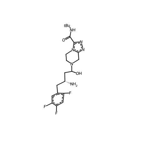 CC(C)(C)NC(=O)c1nnc2n1CCN(C(O)C[C@H](N)Cc1cc(F)c(F)cc1F)C2